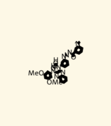 COc1cc(Nc2nc3ccccc3nc2N(c2cccc(N=[N+]=NC(=O)c3cccc(N(C)C)c3)c2)[SH](=O)=O)cc(OC)c1